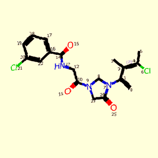 C=C(/C(C)=C(/C)Cl)N1CN(C(=O)CNC(=O)c2cccc(Cl)c2)CC1=O